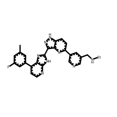 CCNCc1cncc(-c2ccc3[nH]nc(-c4nc5c(-c6cc(C)cc(F)c6)ccnc5[nH]4)c3n2)c1